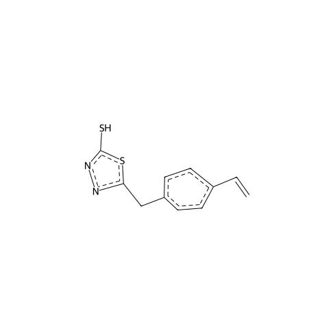 C=Cc1ccc(Cc2nnc(S)s2)cc1